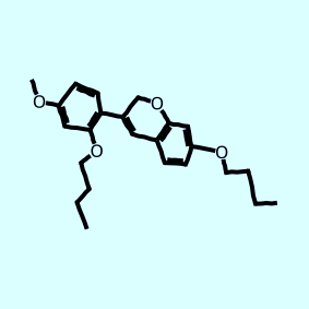 CCCCOc1ccc2c(c1)OCC(c1ccc(OC)cc1OCCCC)=C2